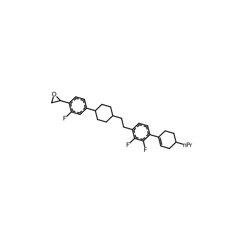 CCCC1CC=C(c2ccc(CCC3CCC(c4ccc(C5CO5)c(F)c4)CC3)c(F)c2F)CC1